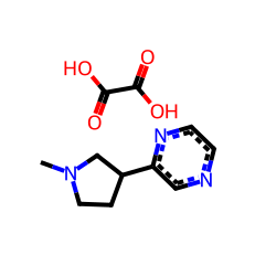 CN1CCC(c2cnccn2)C1.O=C(O)C(=O)O